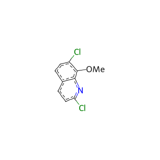 COc1c(Cl)ccc2ccc(Cl)nc12